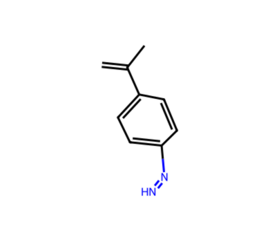 C=C(C)c1ccc(N=N)cc1